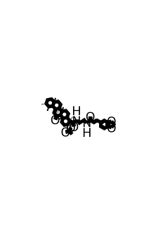 CC(=O)O[C@@H]1CC[C@@]2(C)C(CC[C@]3(C)C2C(=O)C=C2C4[C@@H](C)[C@H](C)CC[C@]4(C)CC[C@]23C)[C@@]1(C)C(=O)NCCNC(=O)/C=C/c1ccc2c(c1)OCO2